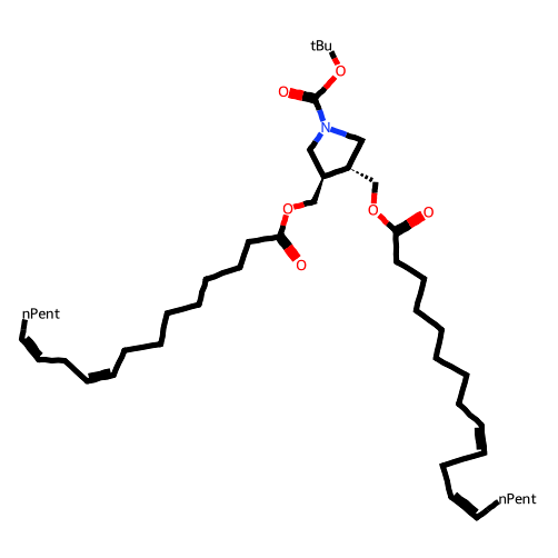 CCCCC/C=C\C/C=C\CCCCCCCC(=O)OC[C@H]1CN(C(=O)OC(C)(C)C)C[C@@H]1COC(=O)CCCCCCC/C=C\C/C=C\CCCCC